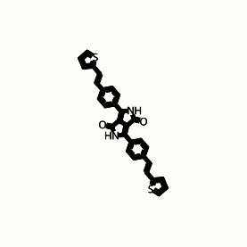 O=C1NC(c2ccc(/C=C/c3cccs3)cc2)=C2C(=O)NC(c3ccc(/C=C/c4cccs4)cc3)=C12